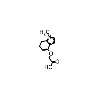 Cn1ccc2c1CCC=C2OCC(=O)O